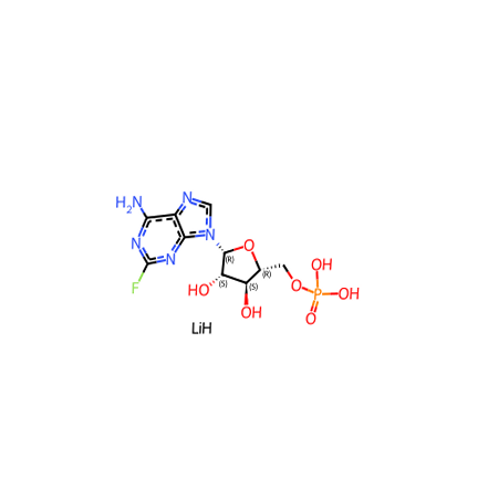 Nc1nc(F)nc2c1ncn2[C@@H]1O[C@H](COP(=O)(O)O)[C@@H](O)[C@@H]1O.[LiH]